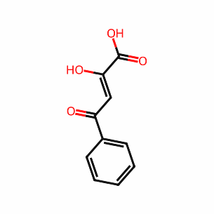 O=C(O)/C(O)=C/C(=O)c1ccccc1